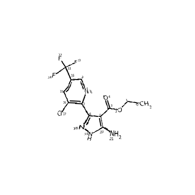 CCOC(=O)c1c(-c2ncc(C(F)(F)F)cc2Cl)n[nH]c1N